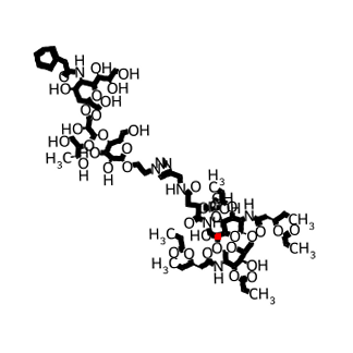 CCC(=O)OC1C(NC(=O)C[C@@H](CC)OC(=O)CC)[C@H](OCC2O[C@@H](OCCNC(=O)CCC(=O)NCc3cn(CCO[C@@H]4OC(CO)[C@@H](O[C@H](OC(CO)[C@@H](C)O)[C@@H](O)CO[C@]5(C(=O)O)C[C@@H](O)[C@@H](NC(=O)Cc6ccccc6)C([C@H](O)[C@H](O)CO)O5)C(O)[C@@H]4O)nn3)[C@@H](NC(=O)C[C@@H](CC)OC(=O)CC)C(OC(=O)CC)[C@@H]2O)OC(CO)[C@H]1OP(=O)(O)O